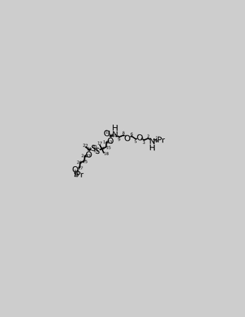 CC(C)NCCOCCOCCNC(=O)OCCC(C)(C)SSC(C)OCCCCOC(C)C